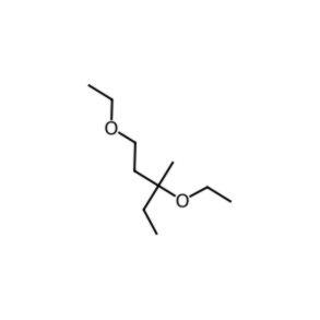 CCOCCC(C)(CC)OCC